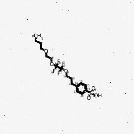 CCCCOCCOC(F)(F)C(F)(F)OCCCc1ccc(S(=O)(=O)O)cc1